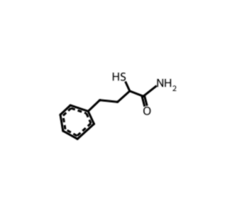 NC(=O)C(S)CCc1ccccc1